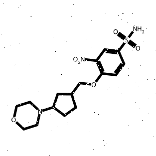 NS(=O)(=O)c1ccc(OCC2CCC(N3CCOCC3)C2)c([N+](=O)[O-])c1